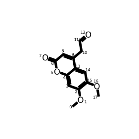 COc1cc2oc(=O)cc(C[C]=O)c2cc1OC